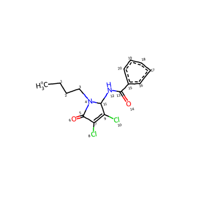 CCCCN1C(=O)C(Cl)=C(Cl)C1NC(=O)c1ccccc1